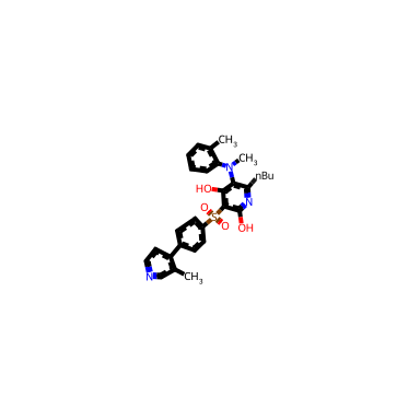 CCCCc1nc(O)c(S(=O)(=O)c2ccc(-c3ccncc3C)cc2)c(O)c1N(C)c1ccccc1C